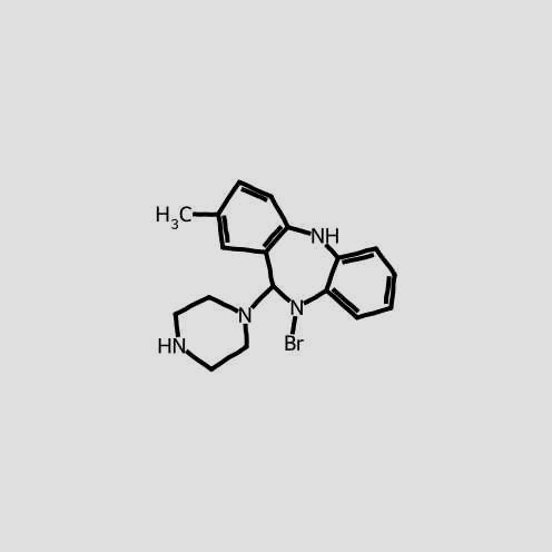 Cc1ccc2c(c1)C(N1CCNCC1)N(Br)c1ccccc1N2